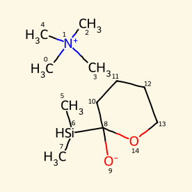 C[N+](C)(C)C.C[SiH](C)C1([O-])CCCCO1